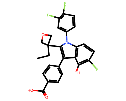 CCC1(c2c(-c3ccc(C(=O)O)cc3)c3c(O)c(F)ccc3n2-c2ccc(F)c(F)c2)COC1